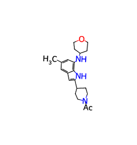 CC(=O)N1CCC(c2cc3cc(C)cc(NC4CCOCC4)c3[nH]2)CC1